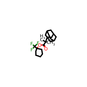 CC(C)(C(=O)OC1(C(F)(F)F)CCCCC1)C12CC3CC(CC(C3)C1)C2